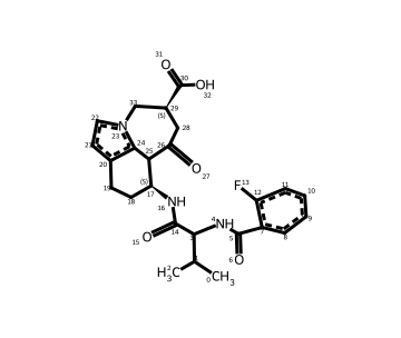 CC(C)C(NC(=O)c1ccccc1F)C(=O)N[C@H]1CCc2ccn3c2C1C(=O)C[C@H](C(=O)O)C3